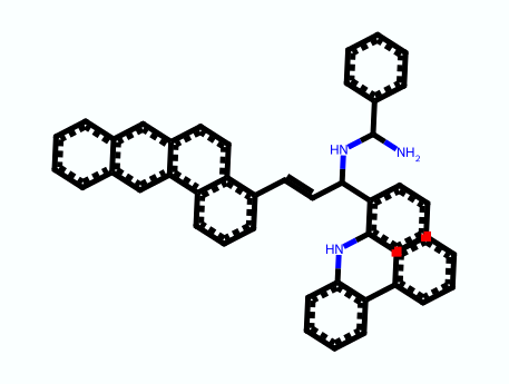 NC(NC(/C=C/c1cccc2c1ccc1cc3ccccc3cc12)c1ccccc1Nc1ccccc1-c1ccccc1)c1ccccc1